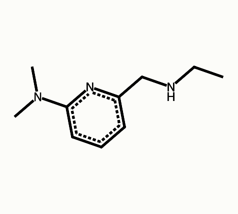 CCNCc1cccc(N(C)C)n1